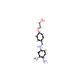 Cc1cc(NCc2ccc(OCCO)cc2)ccc1N